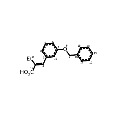 CC/C(=C\c1cccc(OCc2ccccc2)c1)C(=O)O